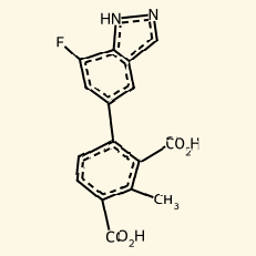 Cc1c(C(=O)O)ccc(-c2cc(F)c3[nH]ncc3c2)c1C(=O)O